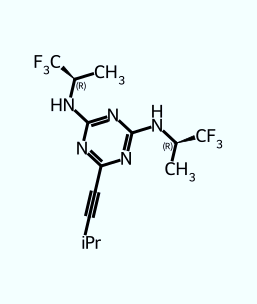 CC(C)C#Cc1nc(N[C@H](C)C(F)(F)F)nc(N[C@H](C)C(F)(F)F)n1